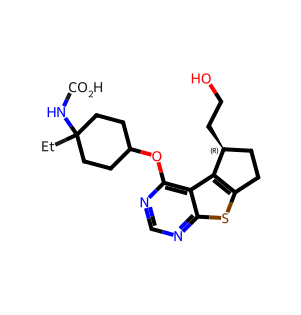 CCC1(NC(=O)O)CCC(Oc2ncnc3sc4c(c23)[C@@H](CCO)CC4)CC1